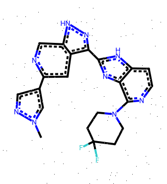 Cn1cc(-c2cc3c(-c4nc5c(N6CCC(F)(F)CC6)nccc5[nH]4)n[nH]c3cn2)cn1